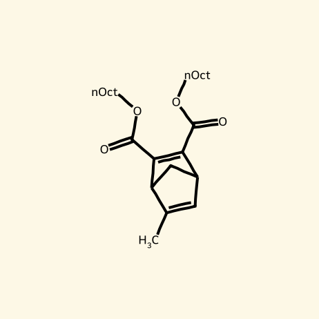 CCCCCCCCOC(=O)C1=C(C(=O)OCCCCCCCC)C2CC1C=C2C